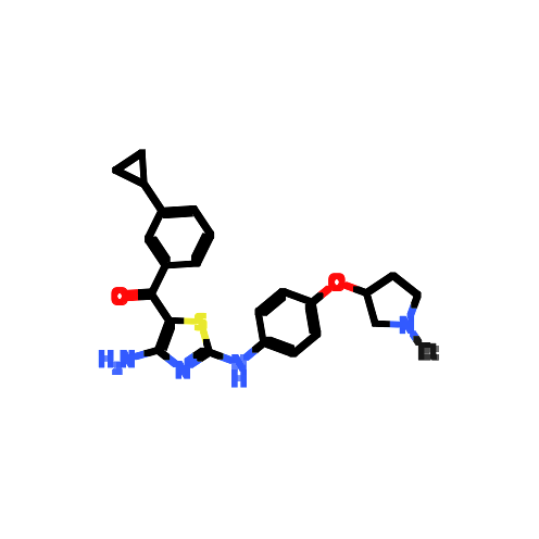 CCN1CCC(Oc2ccc(Nc3nc(N)c(C(=O)c4cccc(C5CC5)c4)s3)cc2)C1